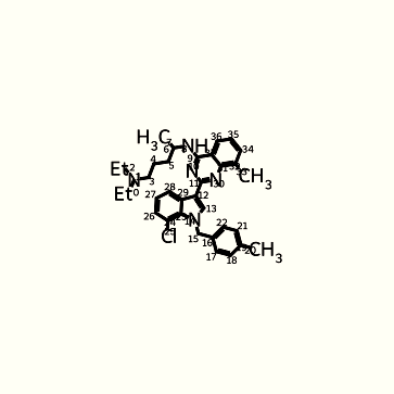 CCN(CC)CCCC(C)Nc1nc(-c2cn(Cc3ccc(C)cc3)c3c(Cl)cccc23)nc2c(C)cccc12